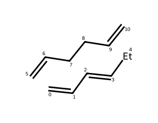 C=CC=CCC.C=CCCC=C